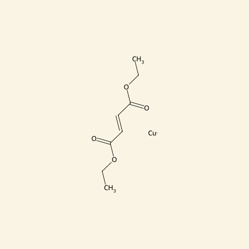 CCOC(=O)C=CC(=O)OCC.[Cu]